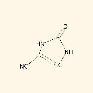 N#Cc1[c][nH]c(=O)[nH]1